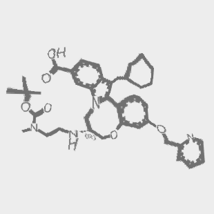 CN(CCN[C@H]1COc2cc(OCc3ccccn3)ccc2-c2c(C3CCCCC3)c3ccc(C(=O)O)cc3n2C1)C(=O)OC(C)(C)C